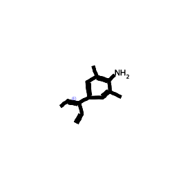 C=C/C(=C\C)c1cc(C)c(N)c(C)c1